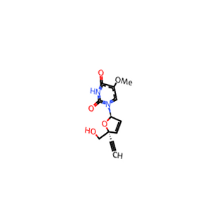 C#C[C@@]1(CO)C=C[C@H](n2cc(OC)c(=O)[nH]c2=O)O1